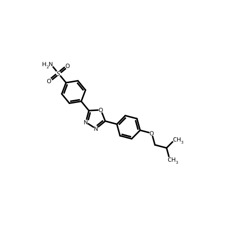 CC(C)COc1ccc(-c2nnc(-c3ccc(S(N)(=O)=O)cc3)o2)cc1